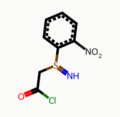 N=S(CC(=O)Cl)c1ccccc1[N+](=O)[O-]